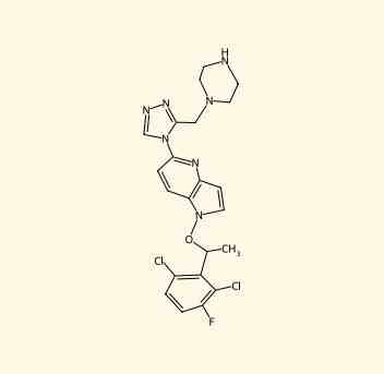 CC(On1ccc2nc(-n3cnnc3CN3CCNCC3)ccc21)c1c(Cl)ccc(F)c1Cl